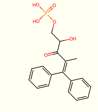 CC(C(=O)C(O)COP(=O)(O)O)=C(c1ccccc1)c1ccccc1